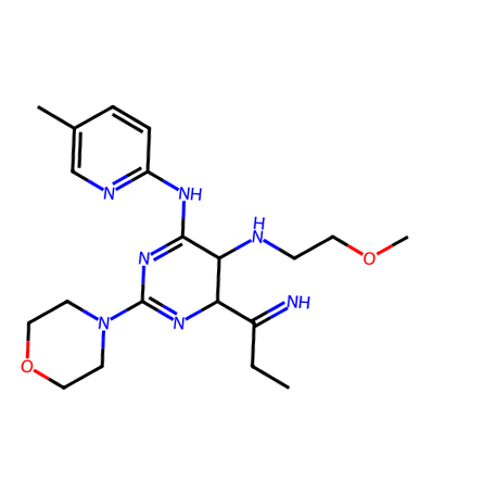 CCC(=N)C1N=C(N2CCOCC2)N=C(Nc2ccc(C)cn2)C1NCCOC